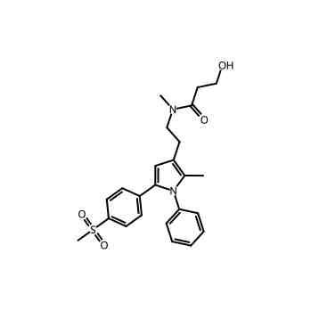 Cc1c(CCN(C)C(=O)CCO)cc(-c2ccc(S(C)(=O)=O)cc2)n1-c1ccccc1